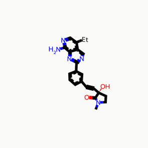 CCc1cnc(N)c2nc(-c3cccc(C#C[C@@]4(O)CCN(C)C4=O)c3)ncc12